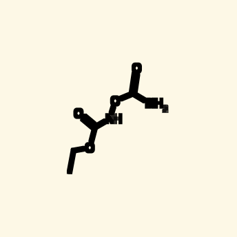 CCOC(=O)NO[C](=O)[BiH2]